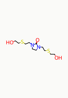 O=C1N(CCSCCO)CCN1CCSCCO